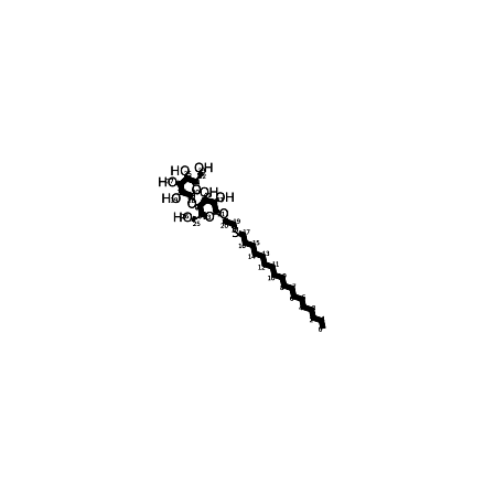 CCCCCCCCCCCCCCCCCCSCCO[C@@H]1O[C@H](CO)[C@H](O[C@H]2O[C@H](CO)[C@H](O)[C@H](O)[C@H]2O)[C@H](O)[C@H]1O